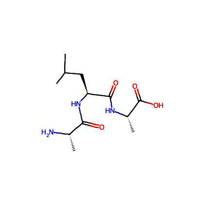 CC(C)C[C@H](NC(=O)[C@H](C)N)C(=O)N[C@@H](C)C(=O)O